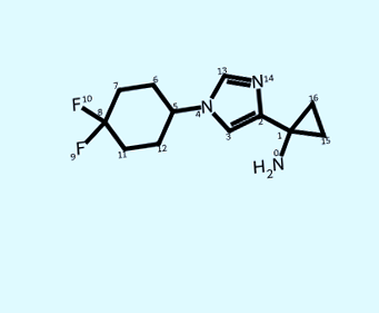 NC1(c2cn(C3CCC(F)(F)CC3)cn2)CC1